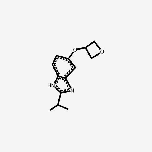 CC(C)c1nc2cc(OC3COC3)ccc2[nH]1